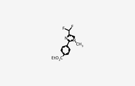 CCOC(=O)c1ccc(-c2nc(C(F)F)cn2C)cc1